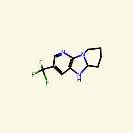 FC(F)(F)c1cnc2c(c1)NC1CCCCN21